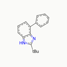 CC(C)(C)c1nc2c(-c3ccccc3)cccc2[nH]1